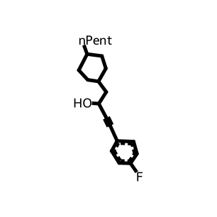 CCCCCC1CCC(CC(O)C#Cc2ccc(F)cc2)CC1